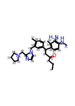 CCCC(=O)CC(c1ccc(C)c(Cn2ccnc2CN2CCCC2)c1)c1ccc(NC)c(N)c1C